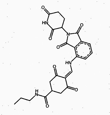 CCCNC(=O)C1CC(=O)C(=CNc2cccc3c2C(=O)N(C2CCC(=O)NC2=O)C3=O)C(=O)C1